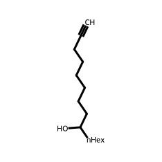 C#CCCCCCCC(O)CCCCCC